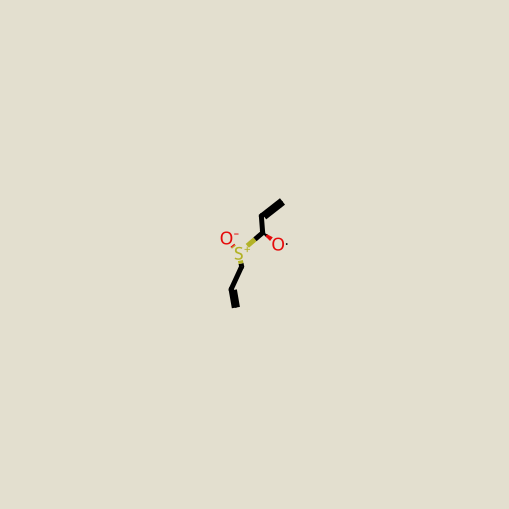 C=CC[S+]([O-])[C@H]([O])C=C